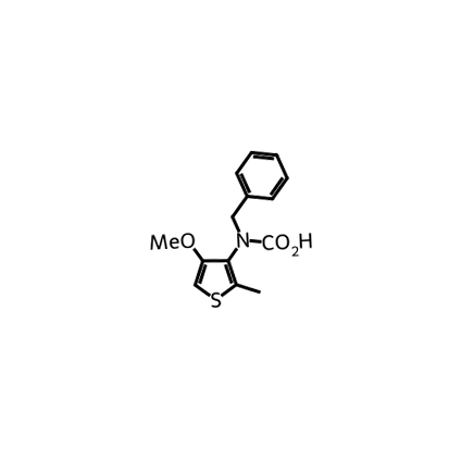 COc1csc(C)c1N(Cc1ccccc1)C(=O)O